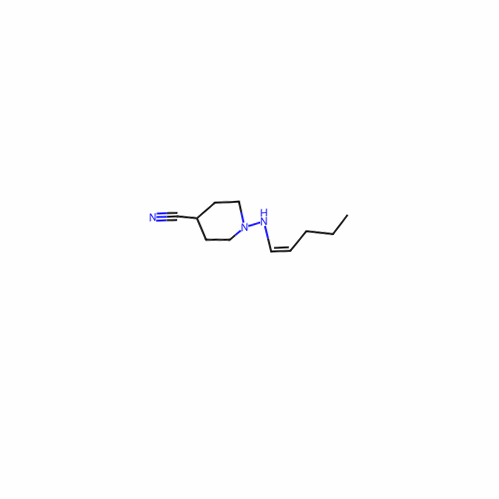 CCC/C=C\NN1CCC(C#N)CC1